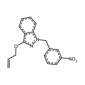 C=CCOc1nn(Cc2cccc([N+](=O)[O-])c2)c2ccccc12